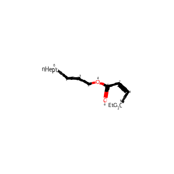 CCCCCCCCCCOC(=O)/C=C\C(=O)OCC